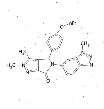 CCCOc1ccc(C2c3c(nn(C)c3C)C(=O)N2c2ccc3nnn(C)c3c2)cc1